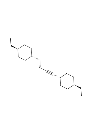 CC[C@H]1CC[C@H](C#CC=C[C@H]2CC[C@H](CC)CC2)CC1